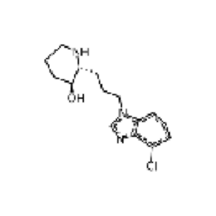 O[C@H]1CCCN[C@@H]1CCCn1cnc2c(Cl)cccc21